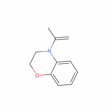 C=C(C)N1CCOc2ccccc21